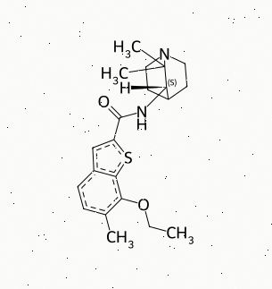 CCOc1c(C)ccc2cc(C(=O)N[C@H]3C4CCN(CC4)C3(C)C)sc12